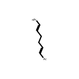 CCC/C=C/CC/C=C/C(C)=O